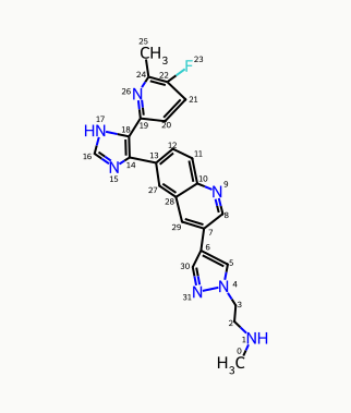 CNCCn1cc(-c2cnc3ccc(-c4nc[nH]c4-c4ccc(F)c(C)n4)cc3c2)cn1